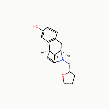 C[C@H]1[C@H]2Cc3ccc(O)cc3[C@]1(C)C=CN2C[C@@H]1CCCO1